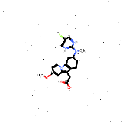 COc1ccn2c3c(c(CC(=O)O)c2c1)CCC(N(C)c1ncc(F)cn1)C3